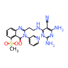 CS(=O)(=O)c1cccc2nc(CCNc3nc(N)nc(N)c3C#N)n(-c3cccnc3)c(=O)c12